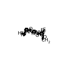 C=CC(=O)N1CC(C(=O)Nc2ccc(NC(=O)c3cccc(-c4ccn[nH]4)n3)nc2)CC(C(F)(F)F)C1